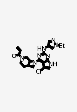 C=CC(=O)N1CCC2CN(c3nc(Nc4cnn(CC)c4)nc4[nH]cc(Cl)c34)C2C1